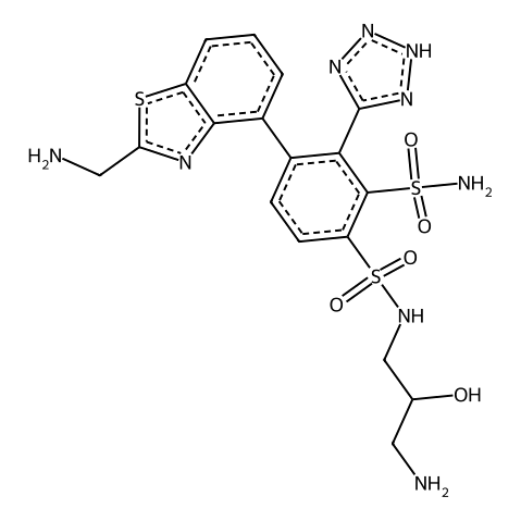 NCc1nc2c(-c3ccc(S(=O)(=O)NCC(O)CN)c(S(N)(=O)=O)c3-c3nn[nH]n3)cccc2s1